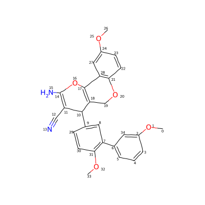 COc1cccc(-c2cc(C3C(C#N)=C(N)OC4=C3COc3ccc(OC)cc34)ccc2OC)c1